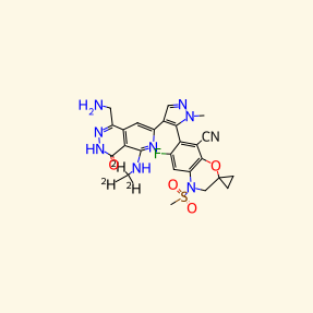 [2H]C([2H])([2H])Nc1nc(-c2cnn(C)c2-c2c(F)cc3c(c2C#N)OC2(CC2)CN3S(C)(=O)=O)cc2c(CN)n[nH]c(=O)c12